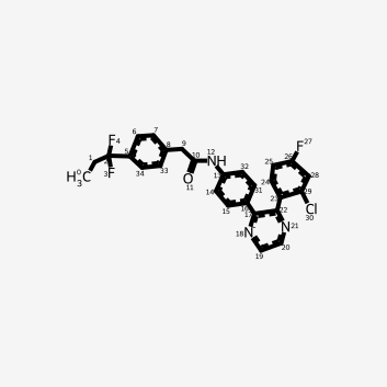 CCC(F)(F)c1ccc(CC(=O)Nc2ccc(-c3nccnc3-c3ccc(F)cc3Cl)cc2)cc1